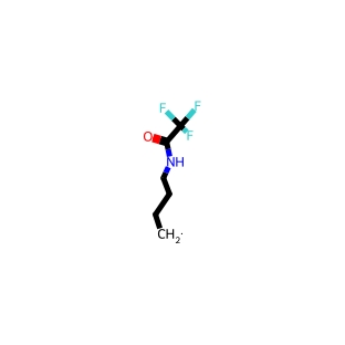 [CH2]CCCNC(=O)C(F)(F)F